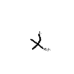 CC(C)(C)CC(C)(C)S(=O)(=O)O